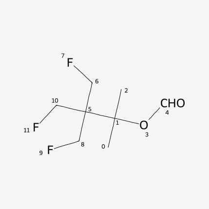 CC(C)(OC=O)C(CF)(CF)CF